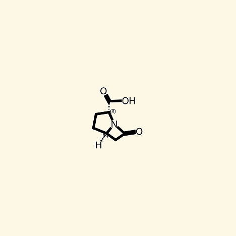 O=C(O)[C@H]1CC[C@@H]2CC(=O)N21